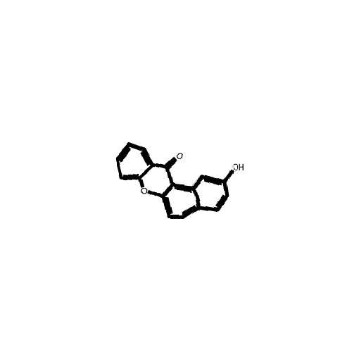 O=c1c2ccccc2oc2ccc3ccc(O)cc3c12